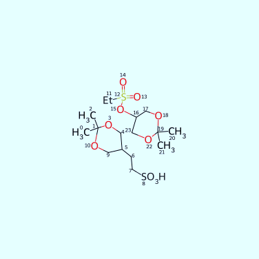 CC1(C)OCC(CCS(=O)(=O)O)CO1.CCS(=O)(=O)OC1COC(C)(C)OC1